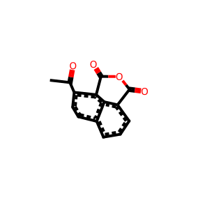 CC(=O)c1ccc2cccc3c2c1C(=O)OC3=O